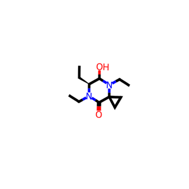 CC[C@H]1C(O)N(CC)C2(CC2)C(=O)N1CC